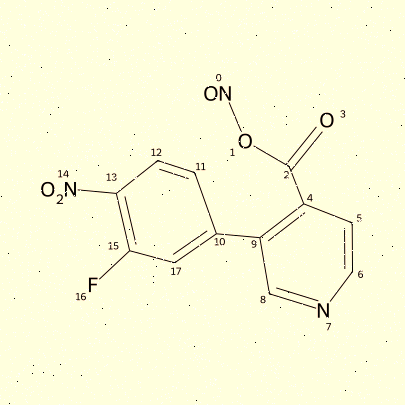 O=NOC(=O)c1ccncc1-c1ccc([N+](=O)[O-])c(F)c1